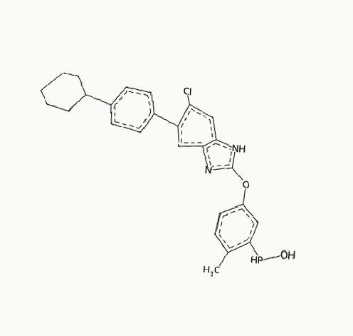 Cc1ccc(Oc2nc3cc(-c4ccc(C5CCCCC5)cc4)c(Cl)cc3[nH]2)cc1PO